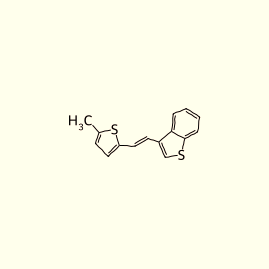 Cc1ccc(C=Cc2csc3ccccc23)s1